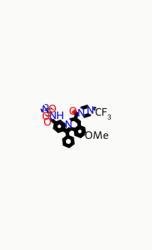 COc1ccc2c(c1)C=C(C(=O)N1CCN(CC(F)(F)F)CC1)Cn1c-2c(C2CCCCC2)c2ccc(C(=O)NS(=O)(=O)N(C)C)cc21